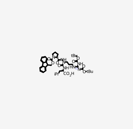 CC(C)C[C@H](NC(=O)N(CCCN/C(=N/C(=O)OC(C)(C)C)NC(=O)OC(C)(C)C)NC(=O)[C@@H]1CCCN1C(=O)OCC1c2ccccc2-c2ccccc21)C(=O)O